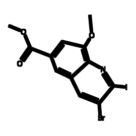 COC(=O)c1cc(OC)c2nc(I)c(Br)cc2c1